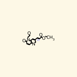 CCOC(=O)/C=C/c1cnc2ccc(=O)n(CC=O)c2c1